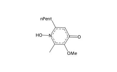 CCCCCc1cc(=O)c(OC)c(C)n1O